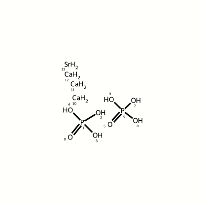 O=P(O)(O)O.O=P(O)(O)O.[CaH2].[CaH2].[CaH2].[SrH2]